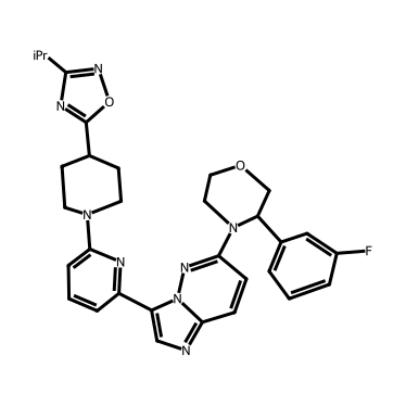 CC(C)c1noc(C2CCN(c3cccc(-c4cnc5ccc(N6CCOCC6c6cccc(F)c6)nn45)n3)CC2)n1